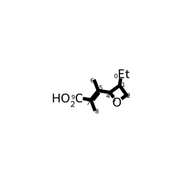 CCC1COC1C(C)=C(C)C(=O)O